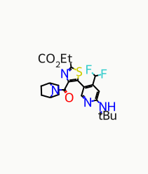 CCOC(=O)c1nc(C(=O)N2C3CCC2CC3)c(-c2cnc(NC(C)(C)C)cc2C(F)F)s1